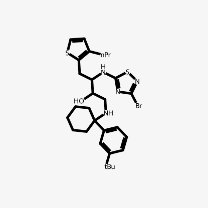 CCCc1ccsc1CC(Nc1nc(Br)ns1)C(O)CNC1(c2cccc(C(C)(C)C)c2)CCCCC1